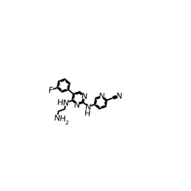 N#Cc1ccc(Nc2ncc(-c3cccc(F)c3)c(NCCN)n2)cn1